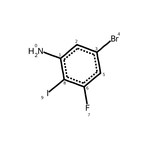 Nc1cc(Br)cc(F)c1I